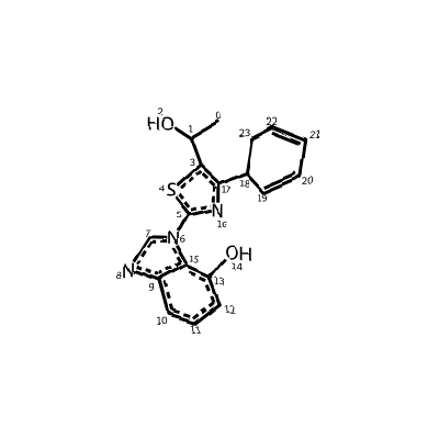 CC(O)c1sc(-n2cnc3cccc(O)c32)nc1C1C=CC=CC1